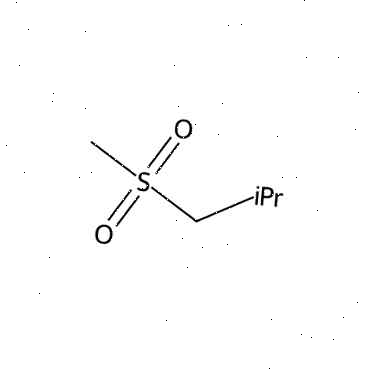 [CH2]C(C)CS(C)(=O)=O